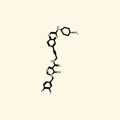 N[C@H]1CC[C@H](Nc2cnc3ccc(C#CCNC(=O)C4=CN=CN(Cc5ccc(F)c(F)c5)C4O)cc3n2)CC1